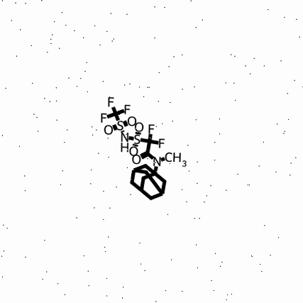 CN(C(=O)C(F)(F)S(=O)(=O)NS(=O)(=O)C(F)(F)F)C12CC3CC(CC(C3)C1)C2